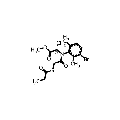 CCC(=O)SCC(=O)N(c1c(C)ccc(Br)c1C)[C@@H](C)C(=O)OC